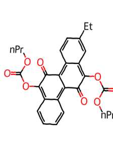 CCCOC(=O)OC1=c2ccccc2=C2C(=O)C(OC(=O)OCCC)=c3cc(CC)ccc3=C2C1=O